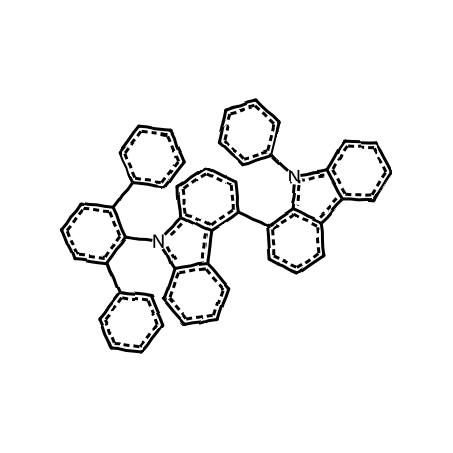 c1ccc(-c2cccc(-c3ccccc3)c2-n2c3ccccc3c3c(-c4cccc5c6ccccc6n(-c6ccccc6)c45)cccc32)cc1